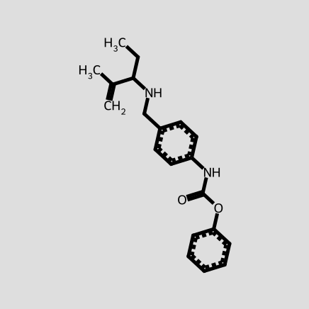 C=C(C)C(CC)NCc1ccc(NC(=O)Oc2ccccc2)cc1